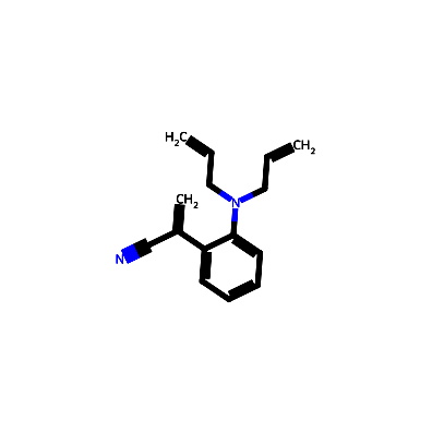 C=CCN(CC=C)c1ccccc1C(=C)C#N